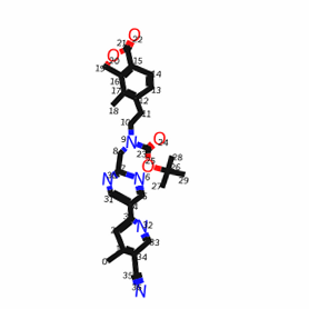 Cc1cc(-c2cnc(CN(CCc3ccc4c(c3C)COC4=O)C(=O)OC(C)(C)C)nc2)ncc1C#N